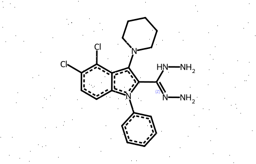 N/N=C(\NN)c1c(N2CCCCC2)c2c(Cl)c(Cl)ccc2n1-c1ccccc1